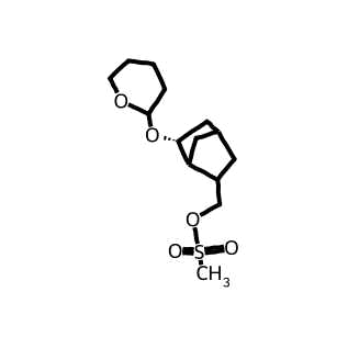 CS(=O)(=O)OCC1CC2CC1[C@H](OC1CCCCO1)C2